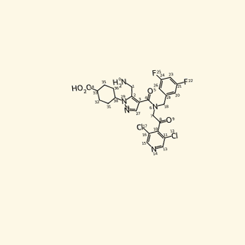 NCc1c(C(=O)N(CC(=O)c2c(Cl)cncc2Cl)Cc2cc(F)cc(F)c2)cnn1C1CCC(C(=O)O)CC1